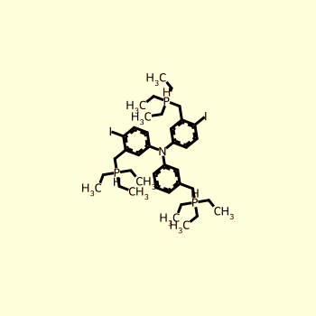 CC[PH](CC)(CC)Cc1cccc(N(c2ccc(I)c(C[PH](CC)(CC)CC)c2)c2ccc(I)c(C[PH](CC)(CC)CC)c2)c1